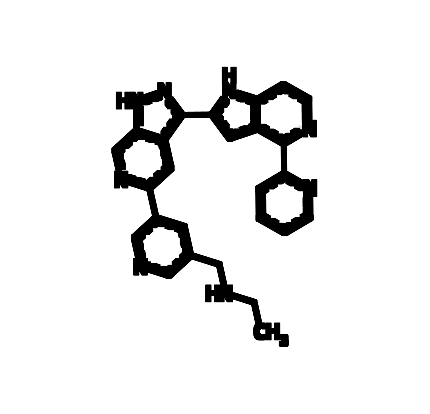 CCNCc1cncc(-c2cc3c(-c4cc5c(-c6ccccn6)nccc5[nH]4)n[nH]c3cn2)c1